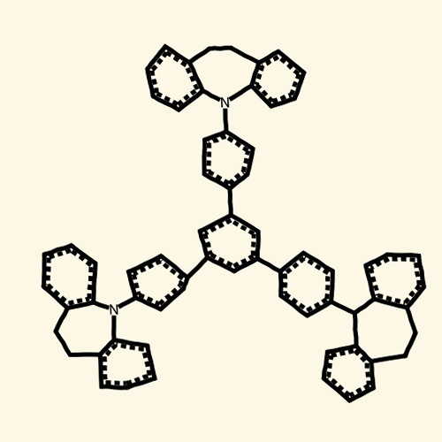 c1ccc2c(c1)CCc1ccccc1C2c1ccc(-c2cc(-c3ccc(N4c5ccccc5CCc5ccccc54)cc3)cc(-c3ccc(N4c5ccccc5CCc5ccccc54)cc3)c2)cc1